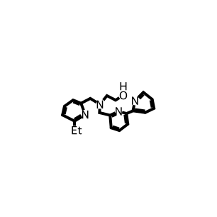 CCc1cccc(CN(CCO)Cc2cccc(-c3ccccn3)n2)n1